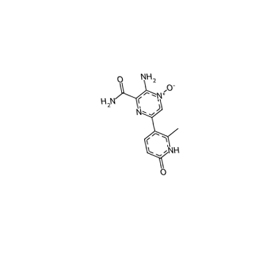 Cc1[nH]c(=O)ccc1-c1c[n+]([O-])c(N)c(C(N)=O)n1